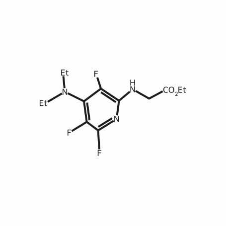 CCOC(=O)CNc1nc(F)c(F)c(N(CC)CC)c1F